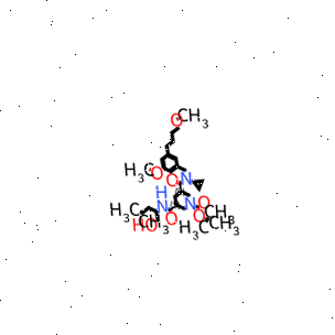 COCCCCc1cc(CN(C(=O)[C@@H]2C[C@H](C(=O)NC(CO)CC(C)C)CN(C(=O)OC(C)(C)C)C2)C2CC2)cc(OC)c1